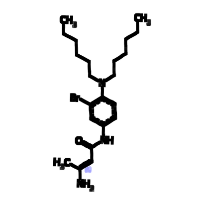 CCCCCCN(CCCCCC)c1ccc(NC(=O)/C=C(\C)N)cc1Br